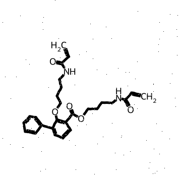 C=CC(=O)NCCCCOC(=O)c1cccc(-c2ccccc2)c1OCCCCNC(=O)C=C